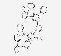 C=C/C(=C\C(=C)N1C2=CC=CCC2C2C=CC(C3=CC=CCC3C3C=CC=CC3)=CC21)c1cccc(-c2nc(C3=CCCC=C3)nc(-c3cccc4c3C3C=CC=CC3O4)n2)c1